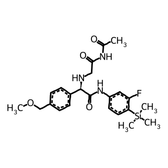 COCc1ccc([C@@H](NCC(=O)NC(C)=O)C(=O)Nc2ccc([Si](C)(C)C)c(F)c2)cc1